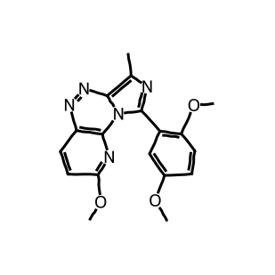 COc1ccc(OC)c(-c2nc(C)c3nnc4ccc(OC)nc4n23)c1